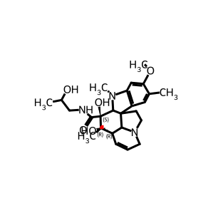 CC[C@]12C=CCN3CCC4(c5cc(C)c(OC)cc5N(C)C4[C@@](O)(C(=O)NCC(C)O)[C@@H]1O)C32